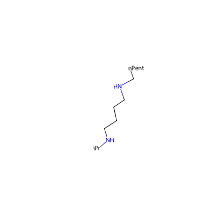 CCCCCCNCCCCNC(C)C